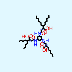 CCCCCC/C(=C/C(=O)Nc1cc(NC(=O)/C=C(\C(=O)O)C(CCCC)CCCC)cc(NC(=O)/C=C(\C(=O)O)C(CCCCCC)CCCCCC)c1)C(=O)O